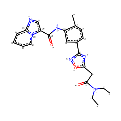 CCN(CC)C(=O)Cc1nc(-c2ccc(C)c(NC(=O)c3cnc4ccccn34)c2)no1